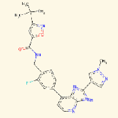 Cn1cc(-c2nc3c(-c4ccc(CNC(=O)c5cc(C(C)(C)C)no5)c(F)c4)ccnc3[nH]2)cn1